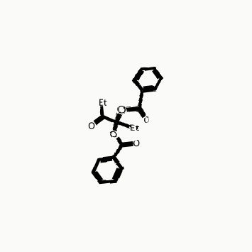 CCC(=O)C(CC)(OC(=O)c1ccccc1)OC(=O)c1ccccc1